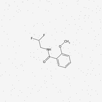 COc1ccccc1C(=O)NCC(F)F